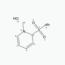 CCCS(=O)(=O)C1C=CC=CN1C.Cl